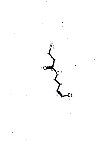 CC/C=C\CCOC(=O)CCC(C)=O